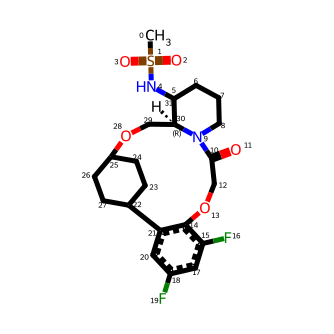 CS(=O)(=O)NC1CCCN2C(=O)COc3c(F)cc(F)cc3C3CCC(CC3)OC[C@@H]12